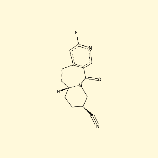 N#C[C@H]1CC[C@@H]2CCc3cc(F)ncc3C(=O)N2C1